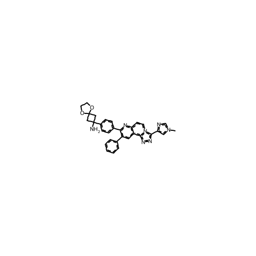 Cn1cnc(-c2nnc3c4cc(-c5ccccc5)c(-c5ccc(C6(N)CC7(C6)OCCO7)cc5)nc4ccn23)c1